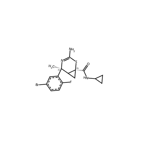 C[C@]1(c2cc(Br)ccc2F)N=C(N)S[C@@]2(C(=O)NC3CC3)CC21